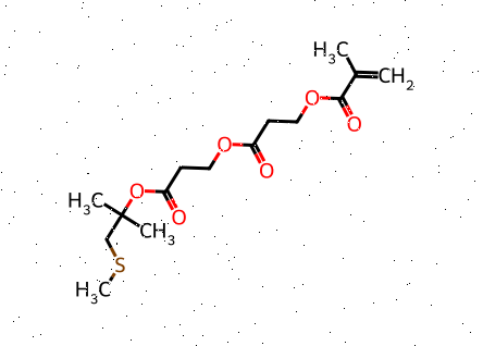 C=C(C)C(=O)OCCC(=O)OCCC(=O)OC(C)(C)CSC